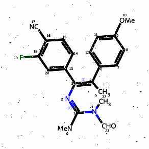 CN/C(=N/C(=C(\C)c1ccc(OC)cc1)c1ccc(C#N)c(F)c1)N(C)C=O